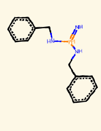 N=[PH](NCc1ccccc1)NCc1ccccc1